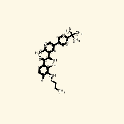 CCCSNc1c(F)ccc(C(=O)C(=N)c2cc(-c3cnc(C(C)(C)C)nc3)cnc2N)c1F